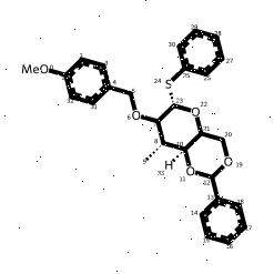 COc1ccc(COC2[C@@H](C)[C@@H]3OC(c4ccccc4)OCC3O[C@H]2Sc2ccccc2)cc1